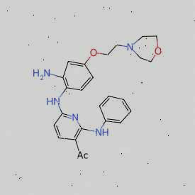 CC(=O)c1ccc(Nc2ccc(OCCN3CCOCC3)cc2N)nc1Nc1ccccc1